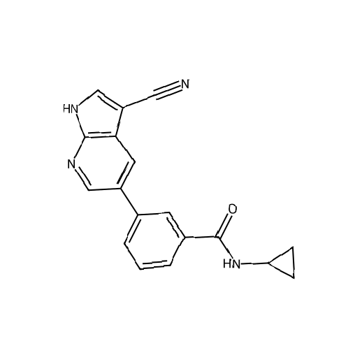 N#Cc1c[nH]c2ncc(-c3cccc(C(=O)NC4CC4)c3)cc12